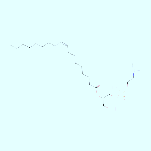 CCCCCCCC/C=C\CCCCCCCC(=O)O[C@H](CO)COP(=O)(O)OCC[N+](C)(C)C